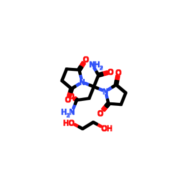 NC(=O)CC(C(N)=O)(N1C(=O)CCC1=O)N1C(=O)CCC1=O.OCCO